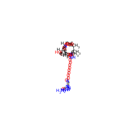 CO[C@H]1C[C@@H]2CC[C@@H](C)[C@@](O)(O2)C(=O)C(=O)N2CCCC[C@H]2C(=O)O[C@H]([C@H](C)C[C@@H]2CC[C@@H](O)[C@H](OC)C2)CC[C@H](C)/C=C(\C)[C@@H](O)[C@@H](OC)C(=NOCC(=O)NCCOCCOCCOCCOCCOCCOCCOCCOCCC(=O)N2CCc3cc(Cn4nc(-c5ccc6oc(N)nc6c5)c5c(N)ncnc54)ccc3C2)[C@H](C)C[C@H](C)/C=C/C=C/C=C/1C